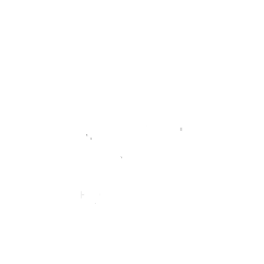 CCc1cnn(CC(=O)O)c1O